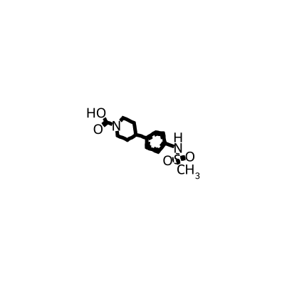 CS(=O)(=O)Nc1ccc(C2CCN(C(=O)O)CC2)cc1